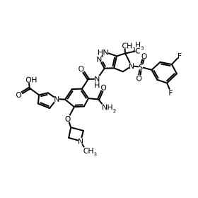 CN1CC(Oc2cc(C(N)=O)c(C(=O)Nc3n[nH]c4c3CN(S(=O)(=O)c3cc(F)cc(F)c3)C4(C)C)cc2-n2ccc(C(=O)O)c2)C1